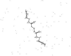 [N-]=[N+]=NCOC(=O)CCCC(=O)OCN=[N+]=[N-]